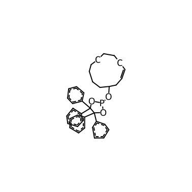 C1=C\CC(OP2OC(c3ccccc3)(c3ccccc3)C(c3ccccc3)(c3ccccc3)O2)CCCCCCCC/1